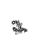 Cc1cc(C(=O)NCC(=O)N2C[C@H](OC(F)F)C[C@H]2C(=O)N[C@H](C)c2cc3cnccc3[nH]2)ccc1Oc1ccccc1